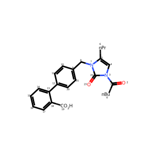 CCCCC(=O)n1cc(CCC)n(Cc2ccc(-c3ccccc3C(=O)O)cc2)c1=O